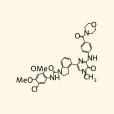 COc1cc(OC)c(NC(=O)N2CCc3c(-c4cn(C)c(=O)c(Nc5ccc(C(=O)N6CCOCC6)cc5)n4)cccc32)cc1Cl